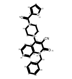 N#Cc1c(N2CCN(C(=O)c3ccco3)CC2)c2ccncc2n(Cc2ccccc2)c1=O